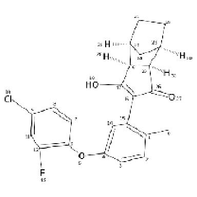 Cc1ccc(Oc2ccc(Cl)cc2F)cc1C1=C(O)[C@H]2[C@H]3CC[C@H](C3)[C@H]2C1=O